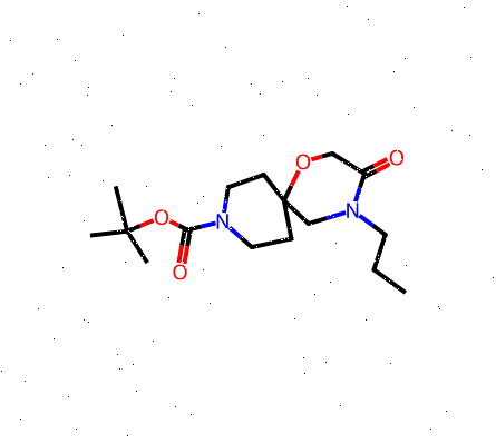 CCCN1CC2(CCN(C(=O)OC(C)(C)C)CC2)OCC1=O